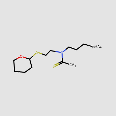 CC(=O)NCCCN(CCSC1CCCCO1)C(C)=S